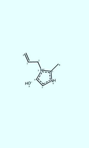 C=CC[n+]1cc[nH]c1C.[OH-]